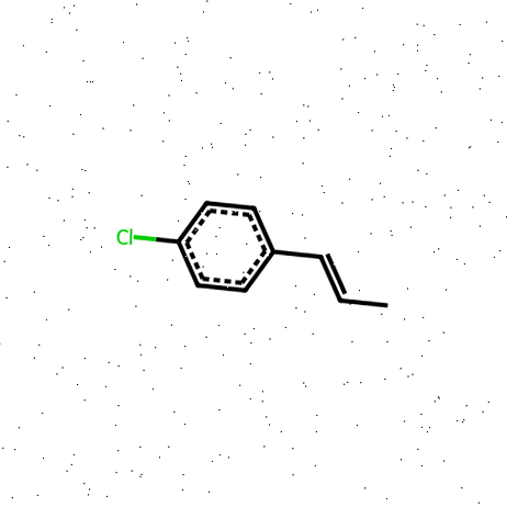 CC=Cc1ccc(Cl)cc1